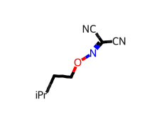 CC(C)CCON=C(C#N)C#N